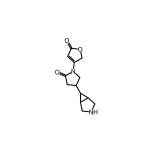 O=C1C=C(N2CC(C3C4CNCC43)CC2=O)CO1